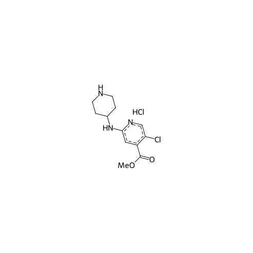 COC(=O)c1cc(NC2CCNCC2)ncc1Cl.Cl